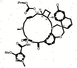 COc1nn(C)cc1C(=O)N[S@@]1(=O)=NC(=O)c2ccc3c(c2)N(C[C@@H]2CC[C@H]2[C@@H](OC(=O)OC(C)C)/C=C/C[C@H](C)C1)C[C@@]1(C=CCc2cc(Cl)ccc21)CO3